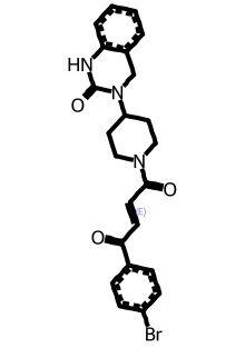 O=C(/C=C/C(=O)N1CCC(N2Cc3ccccc3NC2=O)CC1)c1ccc(Br)cc1